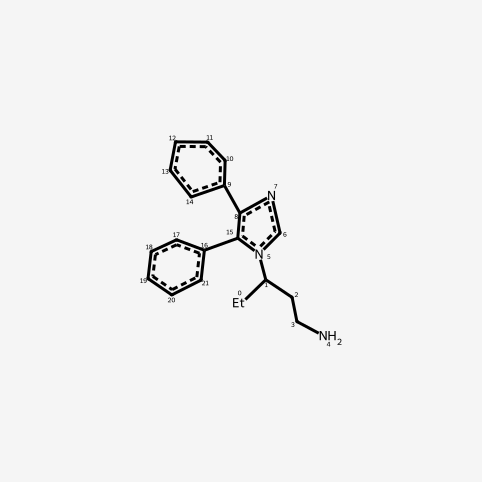 CCC(CCN)n1cnc(-c2ccccc2)c1-c1ccccc1